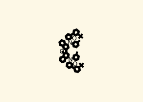 Cc1cccc(N(c2cc3c4cc(N(c5cccc(C)c5)c5cccc6c5oc5c(C(C)(C)C)cccc56)c5ccccc5c4oc3c3ccccc23)c2cccc3c2oc2c(C(C)(C)C)cccc23)c1